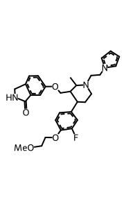 COCCOc1ccc(C2CCN(CCn3cccc3)C(C)C2COc2ccc3c(c2)C(=O)NC3)cc1F